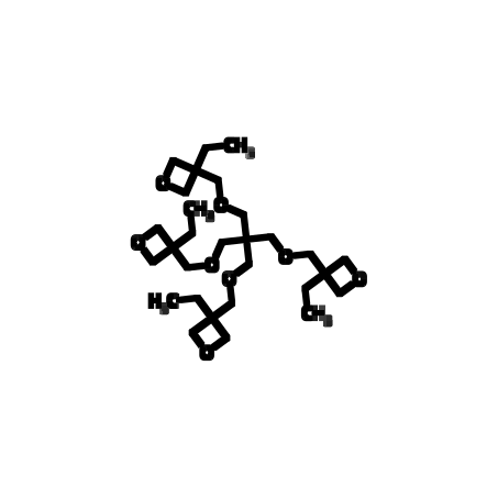 CCC1(COCC(COCC2(CC)COC2)(COCC2(CC)COC2)COCC2(CC)COC2)COC1